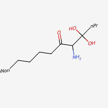 CCCCCCCCCCCCCC(=O)C(N)C(O)(O)CCC